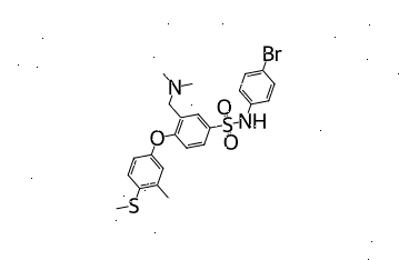 CSc1ccc(Oc2ccc(S(=O)(=O)Nc3ccc(Br)cc3)cc2CN(C)C)cc1C